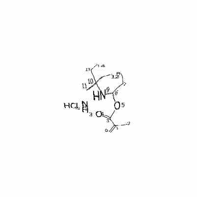 C=C(C)C(=O)OC(CC)NC(C)(C)CC.Cl.N